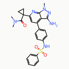 CN(C)C(=O)C1(c2cc(-c3ccc(NS(=O)(=O)c4ccccc4)cc3)c3c(N)nn(C)c3n2)CC1